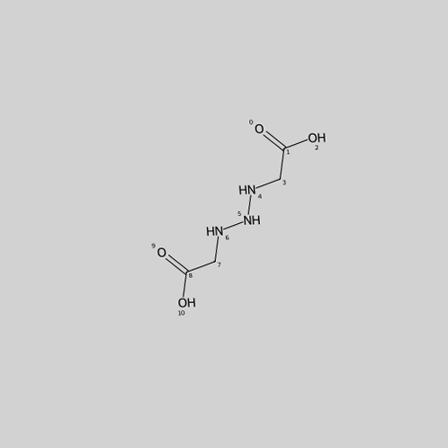 O=C(O)CNNNCC(=O)O